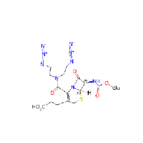 CC(C)(C)OC(=O)N[C@@H]1C(=O)N2C(C(=O)N(CCN=[N+]=[N-])CCN=[N+]=[N-])=C(CCC(=O)O)CS[C@H]12